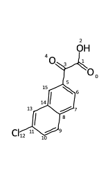 O=C(O)C(=O)c1ccc2ccc(Cl)cc2c1